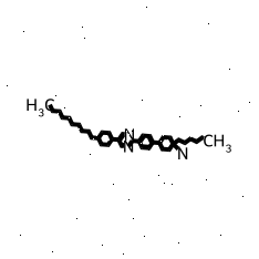 CCCCCCCCCCC1CCC(c2cnc(-c3ccc(C4CCC(C#N)(CCCCCC)CC4)cc3)nc2)CC1